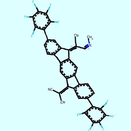 C/N=C\C(C#N)=C1\c2cc(-c3c(F)c(F)c(F)c(F)c3F)ccc2-c2cc3c(cc21)-c1ccc(-c2c(F)c(F)c(F)c(F)c2F)cc1C3=C(C#N)C#N